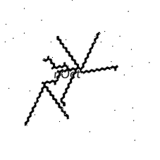 C=CCCCCCCCCCCCCCCC(CCCCCCCCCCCCCC=CC)=C(C)CCCC(C)CCCC(C)CCC(=CCC(CCCCCCCCCCCCCC=C)C(CCCCCCCCCCCCCC=C)C(CCCCCCCCCCCCCC=C)C(CCCCCCCC)CCCCCCCCCCCCC(=C)C)CC(C)CCCC(C)CCCC(C)C=C